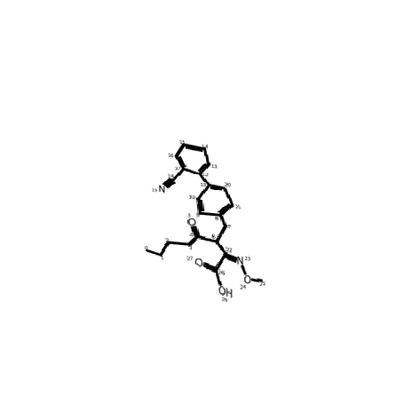 CCCCC(=O)C(Cc1ccc(-c2ccccc2C#N)cc1)C(=NOC)C(=O)O